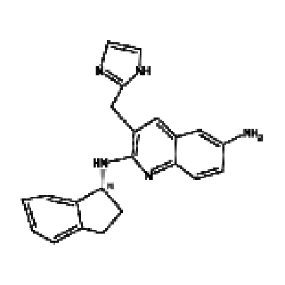 Nc1ccc2nc(N[C@@H]3CCc4ccccc43)c(Cc3ncc[nH]3)cc2c1